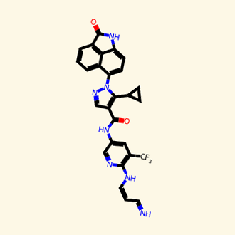 N=C/C=C\Nc1ncc(NC(=O)c2cnn(-c3ccc4c5c(cccc35)C(=O)N4)c2C2CC2)cc1C(F)(F)F